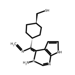 C=N/C(=C1/c2cc[nH]c2N=CN1N)[C@H]1CC[C@H](CS)CC1